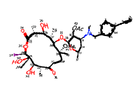 C#Cc1ccc(CN(C)[C@H]2C[C@@H](C)O[C@@H](O[C@@H]3[C@@H](C)[C@H](O)[C@@H](C)C(=O)O[C@H](I)[C@@](C)(O)[C@H](O)[C@@H](C)C(=O)/C=C/[C@@]3(C)OC)[C@H]2OC(C)=O)cc1